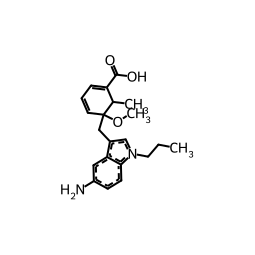 CCCn1cc(CC2(OC)C=CC=C(C(=O)O)C2C)c2cc(N)ccc21